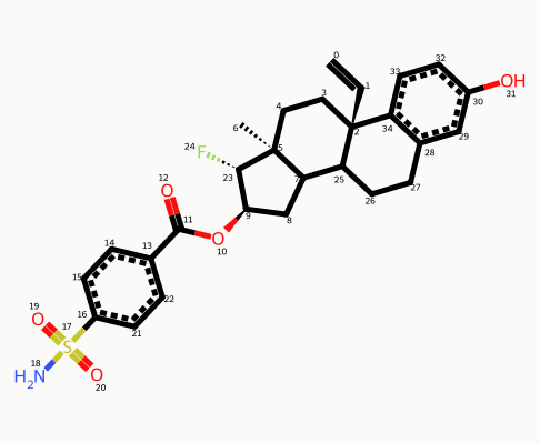 C=C[C@]12CC[C@@]3(C)C(C[C@@H](OC(=O)c4ccc(S(N)(=O)=O)cc4)[C@@H]3F)C1CCc1cc(O)ccc12